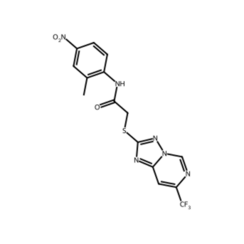 Cc1cc([N+](=O)[O-])ccc1NC(=O)CSc1nc2cc(C(F)(F)F)ncn2n1